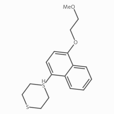 COCCOc1ccc([SH]2CCSCC2)c2ccccc12